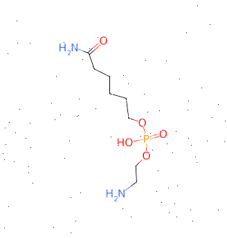 NCCOP(=O)(O)OCCCCCC(N)=O